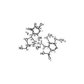 COc1ccc(C(=O)O)c(OC)c1OC.O=c1ccn([C@]2(F)O[C@H](CO)[C@@H](O)[C@H]2O)c(=O)[nH]1